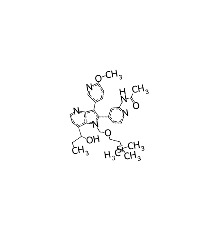 CCC(O)c1ccnc2c(-c3ccc(OC)nc3)c(-c3ccnc(NC(C)=O)c3)n(COCC[Si](C)(C)C)c12